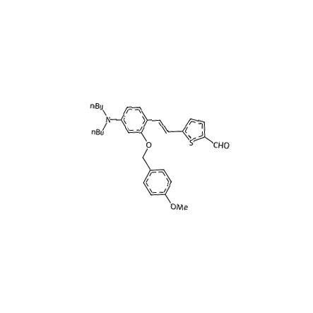 CCCCN(CCCC)c1ccc(/C=C/c2ccc(C=O)s2)c(OCc2ccc(OC)cc2)c1